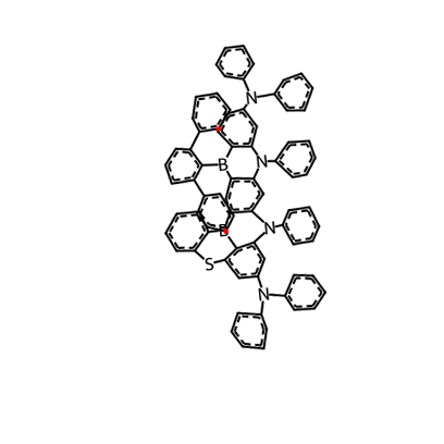 c1ccc(-c2cccc(-c3ccccc3)c2B2c3ccc(N(c4ccccc4)c4ccccc4)cc3N(c3ccccc3)c3cc4c(cc32)B2c3ccccc3Sc3cc(N(c5ccccc5)c5ccccc5)cc(c32)N4c2ccccc2)cc1